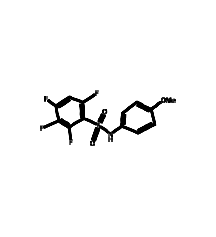 COc1ccc(NS(=O)(=O)c2c(F)cc(F)c(F)c2F)cc1